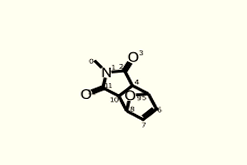 CN1C(=O)C2C3C=CC(O3)C2C1=O